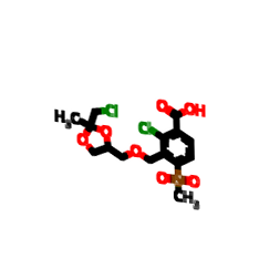 CC1(CCl)OCC(COCc2c(S(C)(=O)=O)ccc(C(=O)O)c2Cl)O1